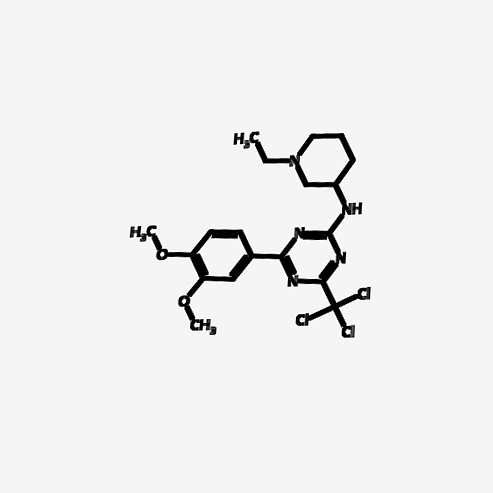 CCN1CCCC(Nc2nc(-c3ccc(OC)c(OC)c3)nc(C(Cl)(Cl)Cl)n2)C1